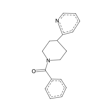 O=C(c1ccccc1)N1CCC(c2ccccn2)CC1